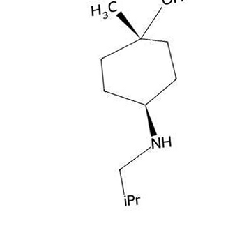 CC(C)CN[C@H]1CC[C@](C)(O)CC1